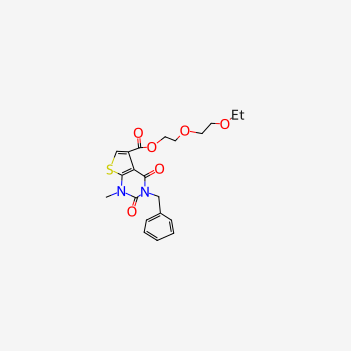 CCOCCOCCOC(=O)c1csc2c1c(=O)n(Cc1ccccc1)c(=O)n2C